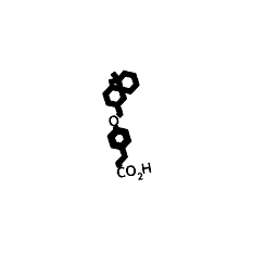 CC1(C)CCCCC12CCCC(COc1ccc(CCC(=O)O)cc1)C2